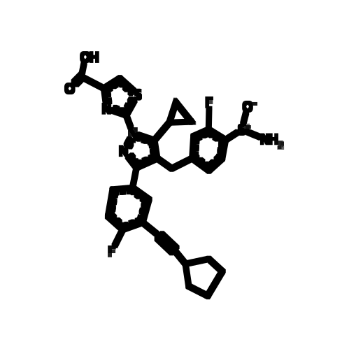 N[S+]([O-])c1ccc(Cc2c(-c3ccc(F)c(C#CC4CCCC4)c3)nn(-c3nc(C(=O)O)cs3)c2C2CC2)cc1F